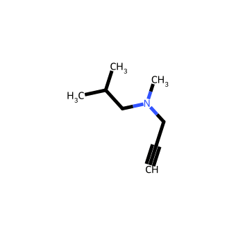 C#CCN(C)CC(C)C